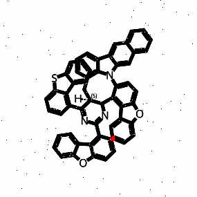 c1ccc2cc3c(cc2c1)c1cccc2c1n3-c1ccc3oc4ccccc4c3c1C1N=C(c3cccc4oc5ccccc5c34)N=C(c3cccc4sc5ccccc5c34)[C@H]1C2